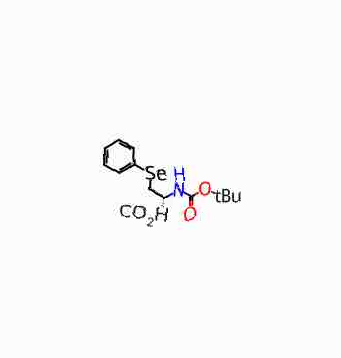 CC(C)(C)OC(=O)N[C@@H](C[Se]c1ccccc1)C(=O)O